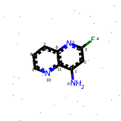 Nc1cc(F)nc2cccnc12